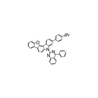 CC(C)c1ccc(-c2ccc3c4c5oc6ccccc6c5ccc4n(-c4nc(-c5ccccc5)c5ccccc5n4)c3c2)cc1